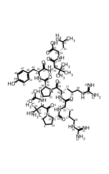 CC(=O)N[C@H](C(=O)N1CCC[C@H]1C(=O)N[C@@H](CCCNC(=N)N)C(=O)N[C@@H](CCCNC(=N)N)C(=O)N1CCC[C@H]1C(=O)N[C@@H](Cc1ccc(O)cc1)C(=O)N[C@H](C(=O)N[C@@H](CC(C)C)C(=O)O)C(C)(C)C)C(C)(C)S